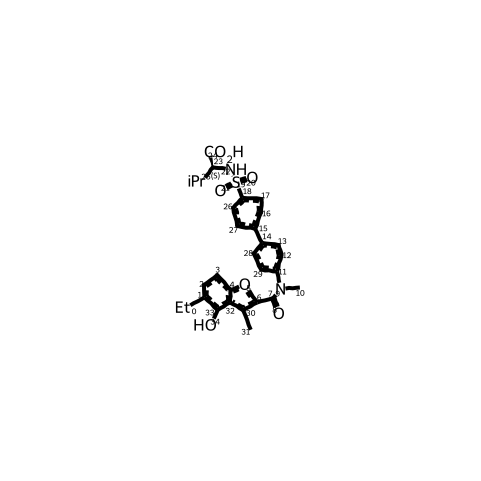 CCc1ccc2oc(C(=O)N(C)c3ccc(-c4ccc(S(=O)(=O)N[C@H](C(=O)O)C(C)C)cc4)cc3)c(C)c2c1O